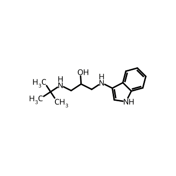 CC(C)(C)NCC(O)CNc1c[nH]c2ccccc12